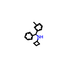 Cc1cccc([C@@H](NC2CCC2)c2ccccc2)c1